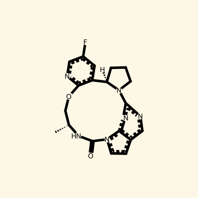 C[C@@H]1COc2ncc(F)cc2[C@H]2CCCN2c2ncc3ccn(c3n2)C(=O)N1